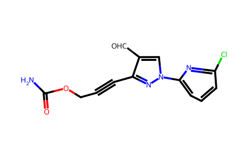 NC(=O)OCC#Cc1nn(-c2cccc(Cl)n2)cc1C=O